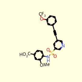 COc1cc(C(=O)O)ccc1NS(=O)(=O)c1cncc(C#Cc2cccc(OC(F)(F)F)c2)c1